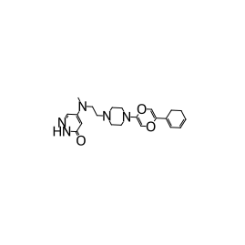 CN(CCN1CCN(C2=COC(C3=CC=CCC3)=CO2)CC1)c1cn[nH]c(=O)c1